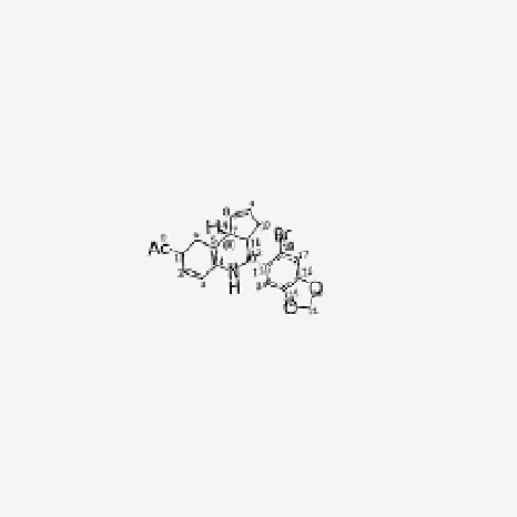 CC(=O)C1C=CC2=C(C1)[C@@H]1C=CCC1[C@H](c1cc3c(cc1Br)OCO3)N2